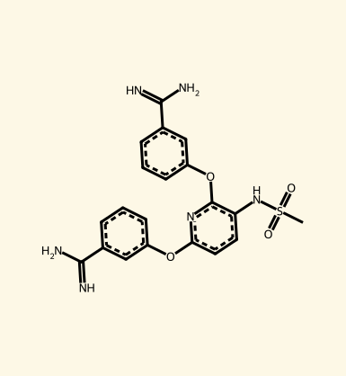 CS(=O)(=O)Nc1ccc(Oc2cccc(C(=N)N)c2)nc1Oc1cccc(C(=N)N)c1